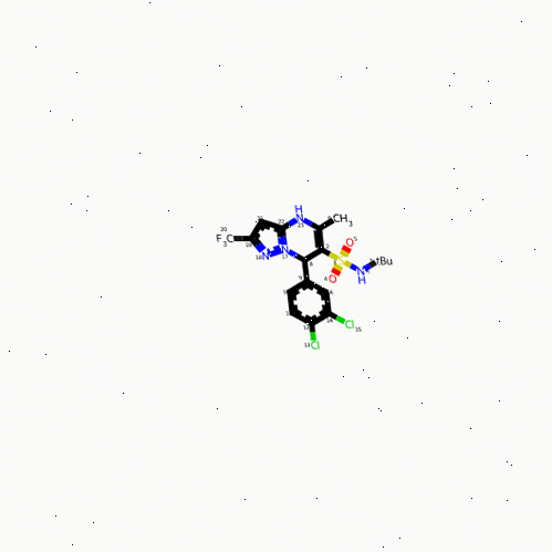 CC1=C(S(=O)(=O)NC(C)(C)C)C(c2ccc(Cl)c(Cl)c2)n2nc(C(F)(F)F)cc2N1